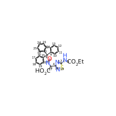 CCOC(=O)Nc1nc(C(=NOC(c2ccccc2)(c2ccccc2)c2ccccc2)C(=O)O)ns1